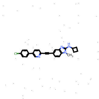 Cn1c(NC2CCC2)nc2cc(C#Cc3ccc(-c4ccc(Cl)cc4)cn3)ccc21